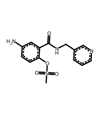 CS(=O)(=O)Oc1ccc(N)cc1C(=O)NCc1cccnc1